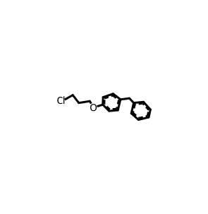 ClCCCOc1ccc(Cc2ccccc2)cc1